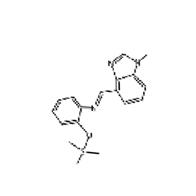 Cn1cnc2c(C=Nc3ccccc3O[Si](C)(C)C)cccc21